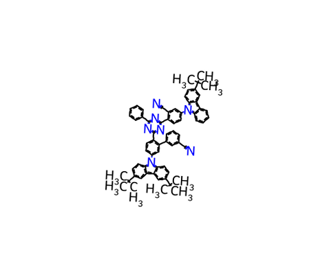 CC(C)(C)c1ccc2c(c1)c1ccccc1n2-c1ccc(-c2nc(-c3ccccc3)nc(-c3ccc(-n4c5ccc(C(C)(C)C)cc5c5cc(C(C)(C)C)ccc54)cc3-c3cccc(C#N)c3)n2)c(C#N)c1